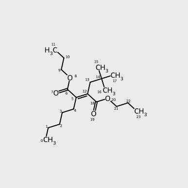 CCCCCC(C(=O)OCCC)=C(CC(C)(C)C)C(=O)OCCC